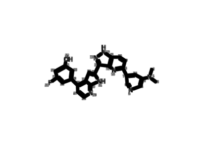 CN(C)c1cncc(-c2ccc3[nH]nc(-c4cc5c(-c6cc(O)cc(F)c6)ccnc5[nH]4)c3n2)c1